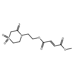 COC(=O)/C=C/C(=O)OCCN1CCS(=O)(=O)CC1=S